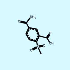 CS(=O)(=O)c1ccc(C(N)=O)cc1C(=O)O